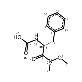 CON(C)C(=O)[C@@H](Cc1ccccc1)NC(=O)O